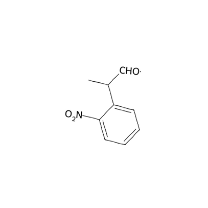 CC([C]=O)c1ccccc1[N+](=O)[O-]